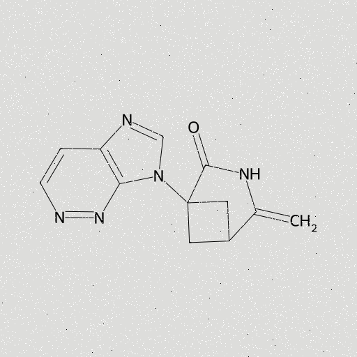 C=C1NC(=O)C2(n3cnc4ccnnc43)CC1C2